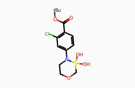 CC(C)(C)OC(=O)c1ccc(N2CCOCS2(O)O)cc1Cl